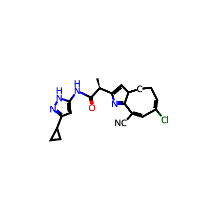 C[C@H](C(=O)Nc1cc(C2CC2)n[nH]1)C1=CC2CC/C=C(Cl)\C=C(\C#N)C2=N1